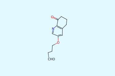 O=CCCCOc1cnc2c(c1)CCCC2=O